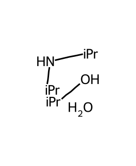 CC(C)NC(C)C.CC(C)O.O